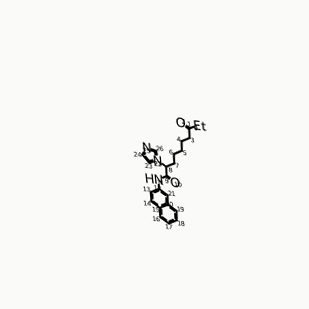 CCC(=O)CCCCCC(C(=O)Nc1ccc2ccccc2c1)n1ccnc1